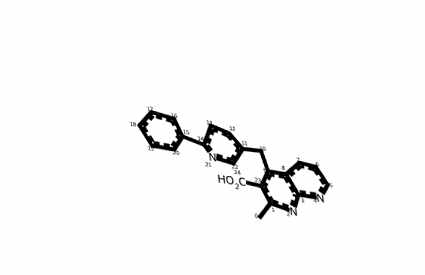 Cc1nc2ncccc2c(Cc2ccc(-c3ccccc3)nc2)c1C(=O)O